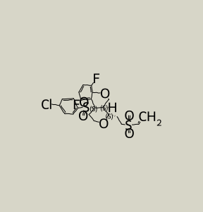 C=CS(=O)(=O)CC[C@@H]1OCC[C@@]2(S(=O)(=O)c3ccc(Cl)cc3)c3c(F)ccc(F)c3OC[C@@H]12